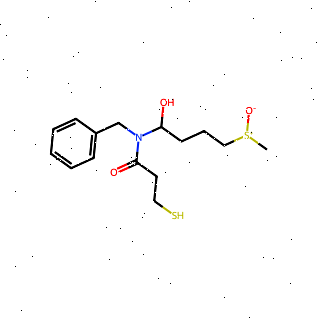 C[S+]([O-])CCCC(O)N(Cc1ccccc1)C(=O)CCS